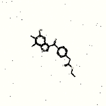 CCOC(=O)Cc1ccc(C(=O)c2coc3c(C)c(C)c(O)cc23)cc1